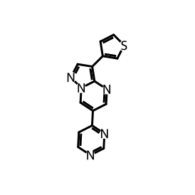 c1cc(-c2cnc3c(-c4ccsc4)cnn3c2)ncn1